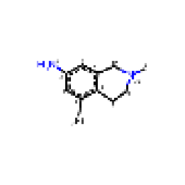 CCc1cc(N)cc2c1CCN(C)C2